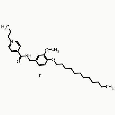 CCCCCCCCCCCCOc1ccc(CNC(=O)c2cc[n+](CCC)cc2)cc1OC.[I-]